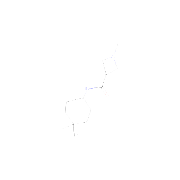 CC(=O)N1CC(C(=O)NC2CCC(C(C)C)(C(C)(C)C)CC2)C1